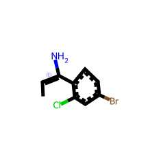 C/C=C(/N)c1ccc(Br)cc1Cl